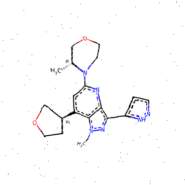 C[C@@H]1COCCN1c1cc([C@H]2CCOC2)c2c(n1)c(-c1ccn[nH]1)nn2C